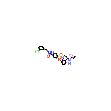 C=CC(=O)NC1CCN(S(=O)(=O)c2ccc(C(=O)NCCc3cccc(Cl)c3)cc2)c2ccccc21